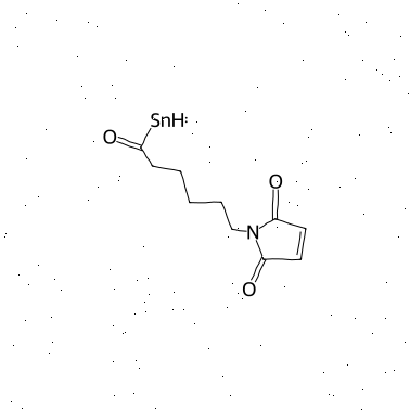 O=[C]([SnH])CCCCCN1C(=O)C=CC1=O